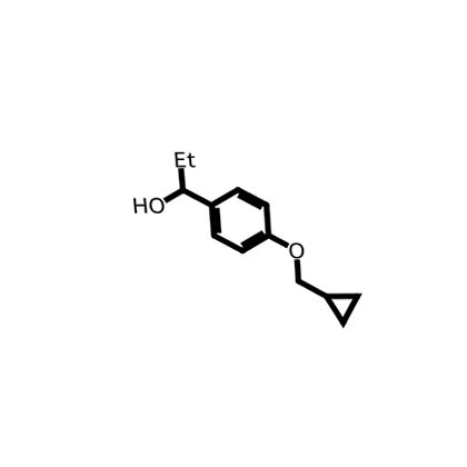 CCC(O)c1ccc(OCC2CC2)cc1